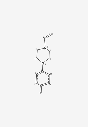 Cc1ccc(N2CCN(C=S)CC2)cc1